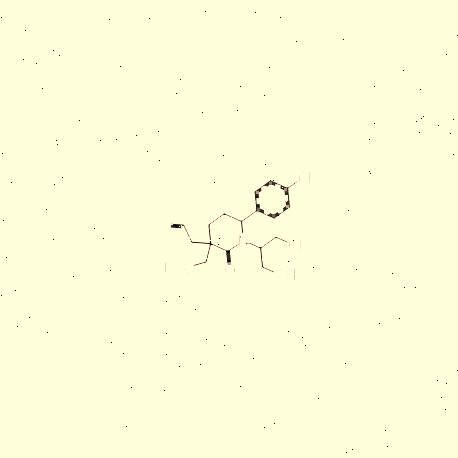 C=CCC1(CC)CCC(c2ccc(Cl)cc2)N(C(CC)CC)C1=O